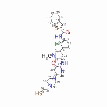 Cn1cc(-c2cccc(NC(=O)c3cc4c(s3)CCCCC4)c2F)cc(Nc2ccc(N3CCN(CCS)CC3)cn2)c1=O